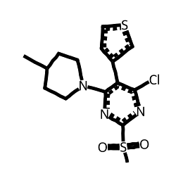 CC1CCN(c2nc(S(C)(=O)=O)nc(Cl)c2-c2ccsc2)CC1